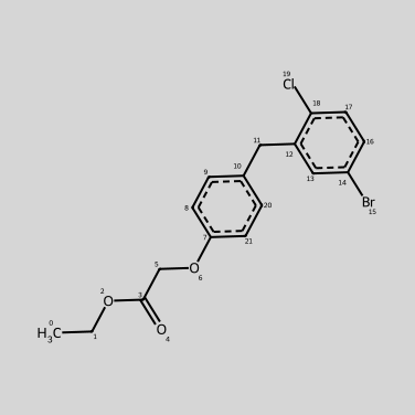 CCOC(=O)COc1ccc(Cc2cc(Br)ccc2Cl)cc1